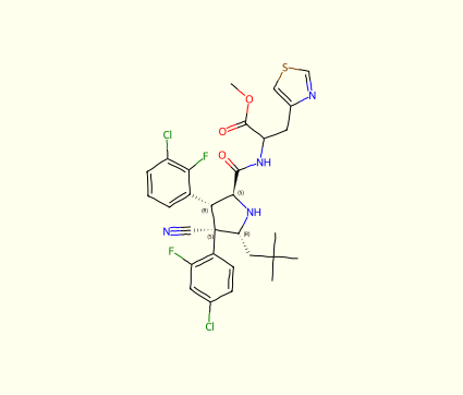 COC(=O)C(Cc1cscn1)NC(=O)[C@H]1N[C@H](CC(C)(C)C)[C@@](C#N)(c2ccc(Cl)cc2F)[C@@H]1c1cccc(Cl)c1F